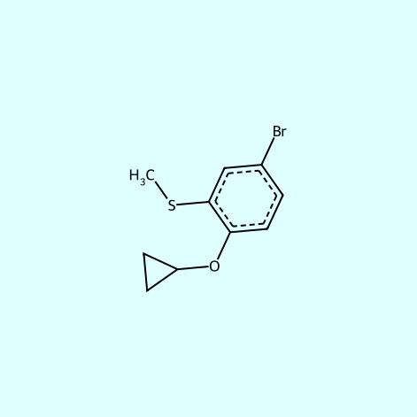 CSc1cc(Br)ccc1OC1CC1